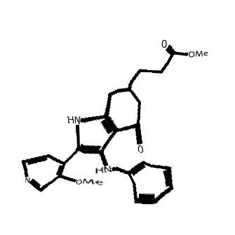 COC(=O)CCC1CC(=O)c2c([nH]c(-c3ccncc3OC)c2Nc2ccccc2)C1